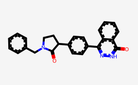 O=C1C(c2ccc(-c3n[nH]c(=O)c4ccccc34)cc2)CCN1Cc1ccccc1